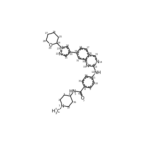 CN1CCC(NC(=O)c2ccc(Nc3ncc4ccc(-c5cnn(C6CCCCO6)c5)cc4n3)cc2)CC1